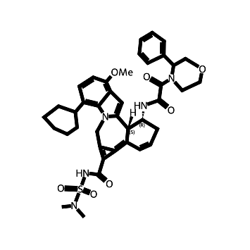 COc1ccc(C2CCCCC2)c2c1cc1n2CC2=C(C(=O)NS(=O)(=O)N(C)C)C2=C2C=CC[C@@H](NC(=O)C(=O)N3CCOCC3c3ccccc3)[C@H]21